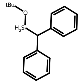 CC(C)(C)O[SiH2]C(c1ccccc1)c1ccccc1